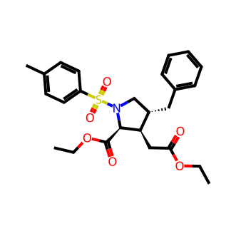 CCOC(=O)C[C@@H]1[C@@H](Cc2ccccc2)CN(S(=O)(=O)c2ccc(C)cc2)[C@@H]1C(=O)OCC